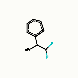 CCCC([C](F)F)c1ccccc1